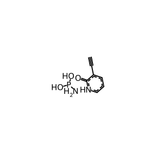 C#Cc1ccc[nH]c1=O.NP(O)O